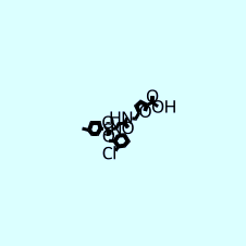 Cc1ccc(S(=O)(=O)N(CC(=O)NCc2ccc(C(=O)O)o2)c2cccc(Cl)c2C)cc1